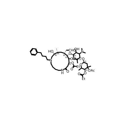 CCC(=O)O[C@@H]1CC(=O)NCCCCN(CCCCc2ccccc2)C[C@H](O)[C@H](C)C[C@H](CC=O)[C@H](O[C@@H]2OC(C)[C@@H](O[C@H]3CC(C)(OC(C)=O)[C@@H](OC(=O)CC)C(C)O3)C(N(C)C)C2O)[C@H]1OC